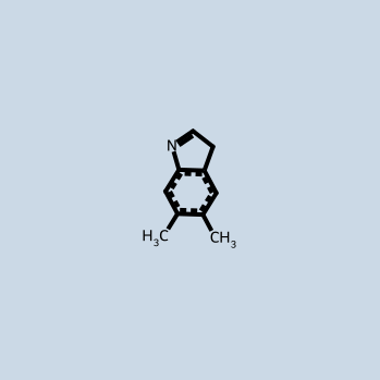 Cc1cc2c(cc1C)N=CC2